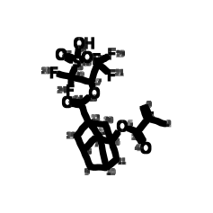 C=C(C)C(=O)OC12CC3CC(C1)CC(C(=O)OC(C(F)(F)F)C(F)(F)S(=O)(=O)O)(C3)C2